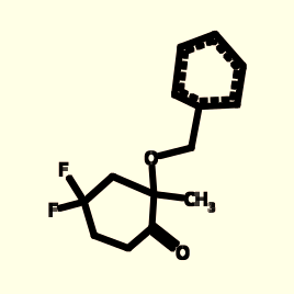 CC1(OCc2ccccc2)CC(F)(F)CCC1=O